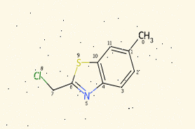 Cc1ccc2nc(CCl)sc2c1